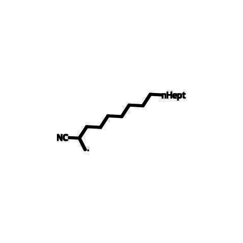 [CH2]C(C#N)CCCCCCCCCCCCCC